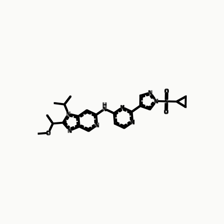 COC(C)c1nc2cnc(Nc3ccnc(-c4cnn(S(=O)(=O)C5CC5)c4)n3)cc2n1C(C)C